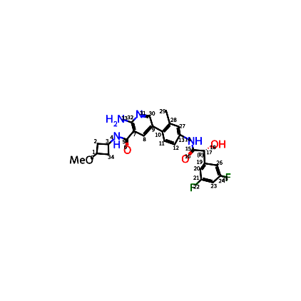 COC1CC(NC(=O)c2cc(-c3ccc(NC(=O)[C@H](O)c4cc(F)cc(F)c4)cc3C)cnc2N)C1